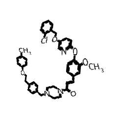 COc1cc(C=CC(=O)N2CCN(Cc3ccc(CCOc4ccc(C)cc4)cc3)CC2)ccc1Oc1ccc(OCc2ccccc2Cl)cn1